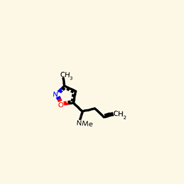 C=CCC(NC)c1cc(C)no1